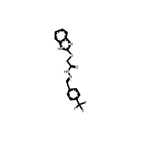 O=C(CSc1nc2ccccc2[nH]1)N/N=C/c1ccc(C(F)(F)F)cc1